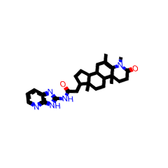 CC1=C2N(C)C(=O)CCC2(C)C2CCC3(C)C(CC(=O)Nc4nc5cccnc5[nH]4)CCC3C2C1